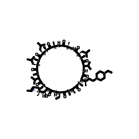 C/C=C/C[C@@H](C)[C@@H](O)[C@H]1C(=O)N[C@@H](CC)C(=O)N(C)[C@H](C)C(=O)N(C)[C@@H]([C@H](C)CCN2CCN(CC)CC2)C(=O)NC(C(C)C)C(=O)N(C)[C@@H](CC(C)C)C(=O)N[C@@H](C)C(=O)N[C@H](C)C(=O)N(C)[C@@H](CC(C)C)C(=O)N(C)[C@@H](CC(C)C)C(=O)N(C)C(C(C)C)C(=O)N1C